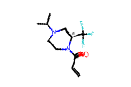 C=CC(=O)N1CCN(C(C)C)C[C@H]1C(F)(F)F